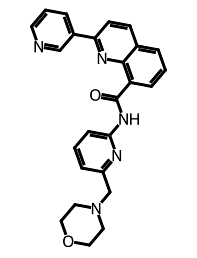 O=C(Nc1cccc(CN2CCOCC2)n1)c1cccc2ccc(-c3cccnc3)nc12